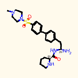 CN1CCN(S(=O)(=O)c2ccc(-c3ccc(C[C@@H](N)NC(=O)[C@@H]4CCCCN4)cc3)cc2)CC1